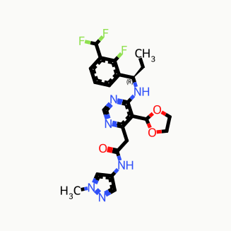 CC[C@@H](Nc1ncnc(CC(=O)Nc2cnn(C)c2)c1C1OCCO1)c1cccc(C(F)F)c1F